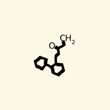 C=CC(=O)C=Cc1ccccc1-c1ccccc1